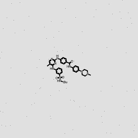 Cc1cnc(Nc2ccc(C(=O)Nc3ccc(N4CCN(C)CC4)cc3)cc2)nc1Nc1cccc(S(=O)(=O)NC(C)(C)C)c1